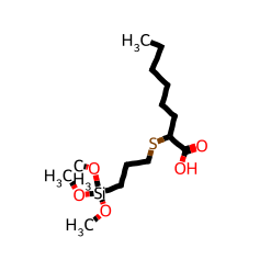 CCCCCCC(SCCC[Si](OC)(OC)OC)C(=O)O